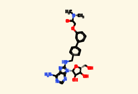 CN(C)C(=O)COc1cccc(-c2ccc(CNc3nc4c(N)ncnc4n3[C@@H]3O[C@H](CO)C(O)C3O)cc2)c1